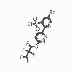 CCS(=O)(=O)c1cc(Br)cnc1-c1ccc(OC(F)C(F)(F)C(F)F)nn1